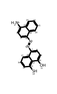 Nc1ccc(N=Nc2ccc(O)c3c(S)cccc23)c2ccccc12